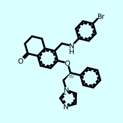 O=C1CCCc2c1ccc(O[C@H](Cn1ccnc1)c1ccccc1)c2CNc1ccc(Br)cc1